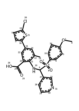 COc1ccc(S(=O)(=O)C(Nc2c(C)cc(-c3ccc(Cl)s3)cc2C(=O)O)c2cccnc2)cc1